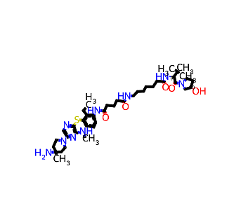 CCc1c(NC(=O)CCCC(=O)NCCCCCCC(=O)N[C@@H](C(=O)N2CC[C@@H](O)C2)C(C)(C)C)cccc1Sc1ncc(N2CCC(C)(N)CC2)nc1NC